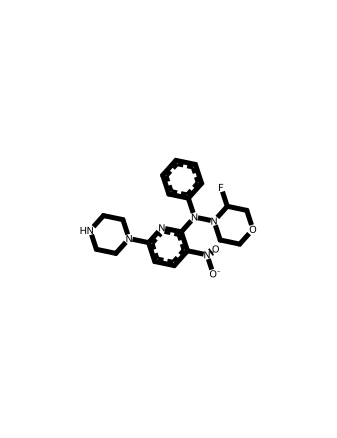 O=[N+]([O-])c1ccc(N2CCNCC2)nc1N(c1ccccc1)N1CCOCC1F